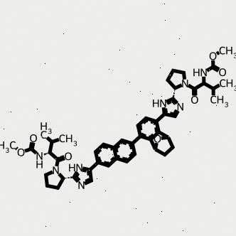 COC(=O)NC(C(=O)N1CCC[C@H]1c1ncc(-c2ccc(-c3ccc4cc(-c5cnc([C@@H]6CCCN6C(=O)[C@H](NC(=O)OC)C(C)C)[nH]5)ccc4c3)c3c2C2CCC3O2)[nH]1)C(C)C